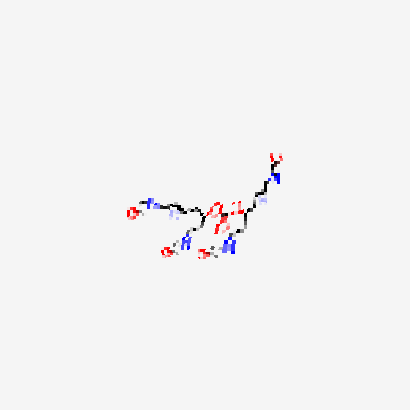 O=C=NC/C=C/CC(CCN=C=O)OC(=O)OC(C/C=C/CN=C=O)CCN=C=O